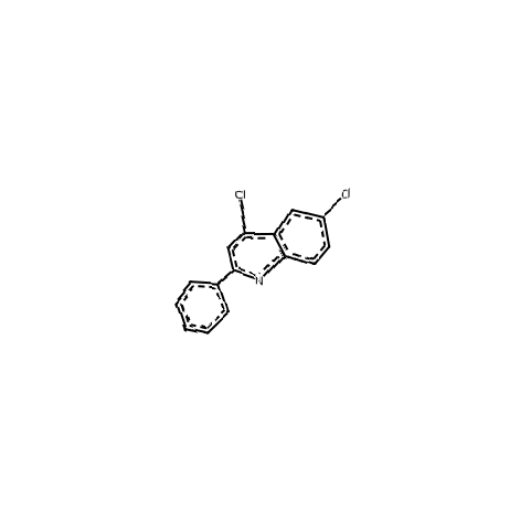 Clc1ccc2nc(-c3ccccc3)cc(Cl)c2c1